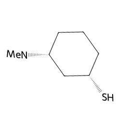 CN[C@@H]1CCC[C@H](S)C1